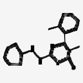 Cc1ccccc1-c1nc(NNc2ccccc2)nc(=O)n1C